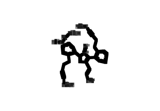 CCCC=CC1=C(c2ccccc2CCC#CCCCCCCCCCC)[N+](=[N-])C(c2ccccc2CCC#CCCCCCCCCCC)=C1.CCCCC[CH2][Ni][CH2]CCCCC